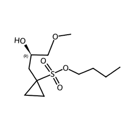 CCCCOS(=O)(=O)C1(C[C@@H](O)COC)CC1